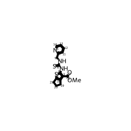 COC(=O)c1c(NC(=S)NCc2ccccn2)sc2c1CCC2